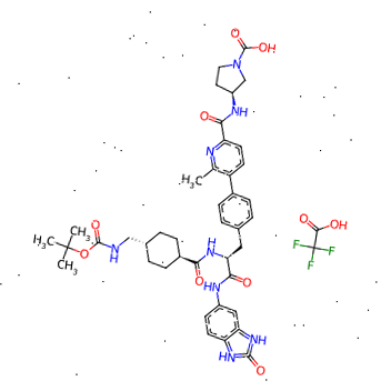 Cc1nc(C(=O)N[C@H]2CCN(C(=O)O)C2)ccc1-c1ccc(C[C@H](NC(=O)[C@H]2CC[C@H](CNC(=O)OC(C)(C)C)CC2)C(=O)Nc2ccc3[nH]c(=O)[nH]c3c2)cc1.O=C(O)C(F)(F)F